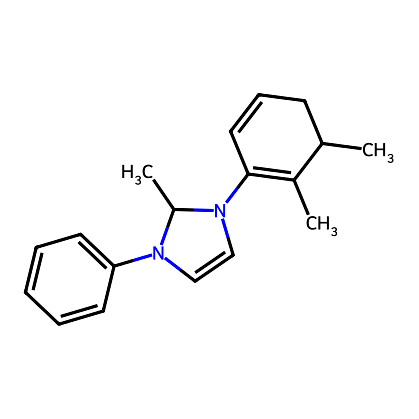 CC1=C(N2C=CN(c3ccccc3)C2C)C=CCC1C